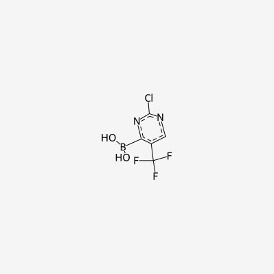 OB(O)c1nc(Cl)ncc1C(F)(F)F